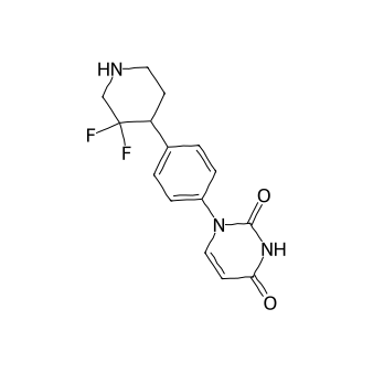 O=c1ccn(-c2ccc(C3CCNCC3(F)F)cc2)c(=O)[nH]1